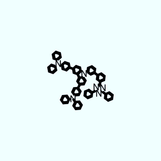 c1ccc(-c2nc(-c3ccccc3)nc(-c3cccc(-c4cccc(-n5c6ccc(-c7ccc(N(c8ccccc8)c8ccccc8)cc7)cc6c6cc(-c7ccc(N(c8ccccc8)c8ccccc8)cc7)ccc65)c4)c3)n2)cc1